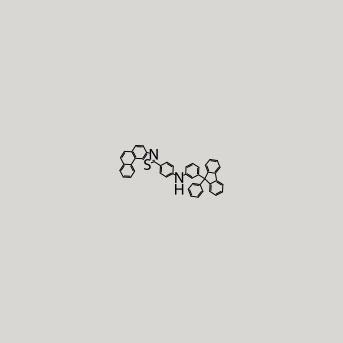 c1ccc(C2(c3cccc(Nc4ccc(-c5nc6ccc7ccc8ccccc8c7c6s5)cc4)c3)c3ccccc3-c3ccccc32)cc1